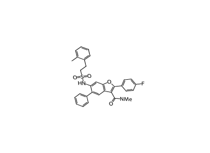 CNC(=O)c1c(-c2ccc(F)cc2)oc2cc(NS(=O)(=O)CCc3ccccc3C)c(-c3ccccc3)cc12